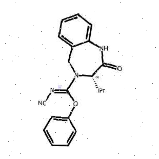 CC(C)[C@H]1C(=O)Nc2ccccc2CN1/C(=N/C#N)Oc1ccccc1